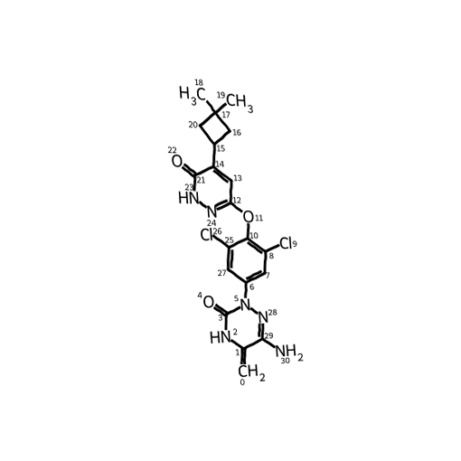 C=C1NC(=O)N(c2cc(Cl)c(Oc3cc(C4CC(C)(C)C4)c(=O)[nH]n3)c(Cl)c2)N=C1N